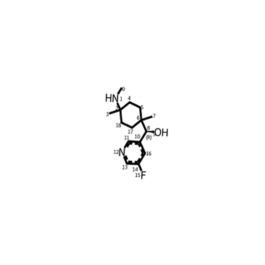 CNC1(C)CCC(C)([C@@H](O)c2cncc(F)c2)CC1